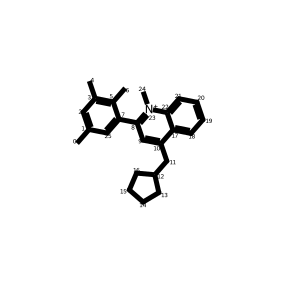 Cc1cc(C)c(C)c(-c2cc(CC3CCCC3)c3ccccc3[n+]2C)c1